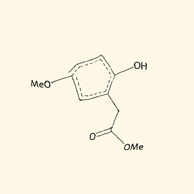 COC(=O)Cc1cc(OC)ccc1O